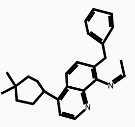 C/C=N\c1c(Cc2ccccc2)ccc2c(C3CCC(C)(C)CC3)ccnc12